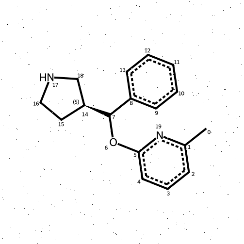 Cc1cccc(OC(c2ccccc2)[C@H]2CCNC2)n1